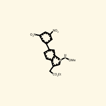 CCOC(=O)Cc1cn(BOC)c2cc(-c3cc([N+](=O)[O-])cc([N+](=O)[O-])c3)ccc12